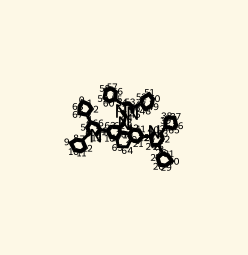 c1ccc(-c2cc(-c3ccccc3)nc(-c3cc4c5c6c(cc(-c7cc(-c8ccccc8)cc(-c8ccccc8)n7)cc6n(-c6nc(-c7ccccc7)cc(-c7ccccc7)n6)c5c3)CC4)c2)cc1